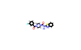 O=C(Nc1nc2ccccc2s1)N1CCN(C(=O)c2cccc(F)c2)CC1